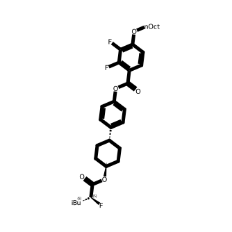 CCCCCCCCOc1ccc(C(=O)Oc2ccc([C@H]3CC[C@H](OC(=O)[C@@H](F)[C@@H](C)CC)CC3)cc2)c(F)c1F